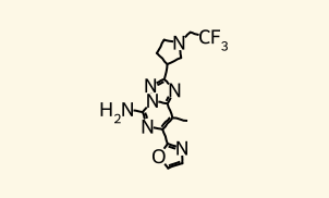 Cc1c(-c2ncco2)nc(N)n2nc(C3CCN(CC(F)(F)F)C3)nc12